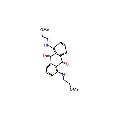 COCCNc1cccc2c1C(=O)c1cccc(NCCOC)c1C2=O